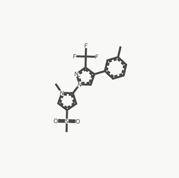 Cc1cccc(-c2cn(-c3cc(S(C)(=O)=O)cn3C)nc2C(F)(F)F)c1